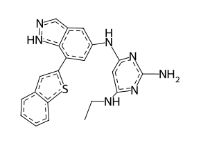 CCNc1cc(Nc2cc(-c3cc4ccccc4s3)c3[nH]ncc3c2)nc(N)n1